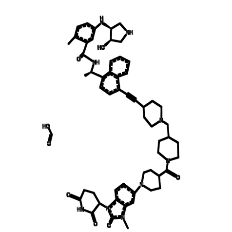 Cc1ccc(N[C@H]2CNC[C@H]2O)cc1C(=O)N[C@H](C)c1ccc(C#CC2CCN(CC3CCN(C(=O)C4CCN(c5ccc6c(c5)n(C)c(=O)n6C5CCC(=O)NC5=O)CC4)CC3)CC2)c2ccccc12.O=CO